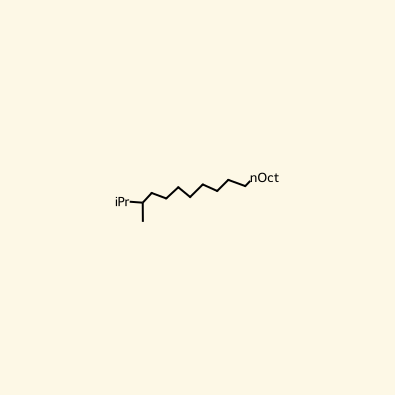 [CH2]C(C)C(C)CCCCCCCCCCCCCCCC